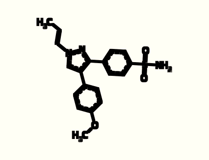 CC=Cn1cc(-c2ccc(OC)cc2)c(-c2ccc(S(N)(=O)=O)cc2)n1